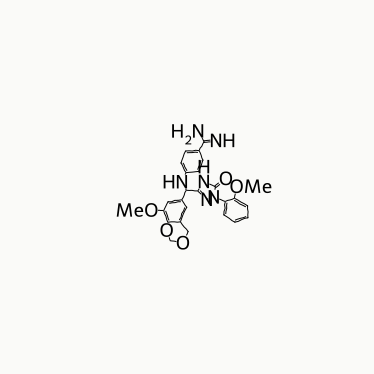 COc1ccccc1-n1nc(C(Nc2ccc(C(=N)N)cc2)c2cc3c(c(OC)c2)OCOC3)[nH]c1=O